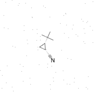 CC(C)(C)[C@H]1C[C@H]1C#N